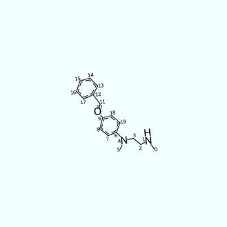 CNCCN(C)c1ccc(OCc2ccccc2)cc1